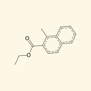 CCOC(=O)c1ccc2ccccc2c1C